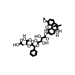 COc1ccc2c3c1O[C@H]1C(OC(=O)[C@H](O)[C@@H](O)C(=O)O[C@H](C(=O)O[C@H](CC(=O)O)C(=O)O)c4ccccc4)=CC[C@@]4(O)[C@@H](C2)C(C)CC[C@]314